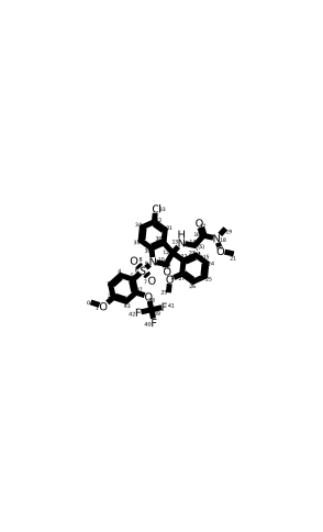 COc1ccc(S(=O)(=O)N2C(=O)C(N[C@@H](C)C(=O)N(C)OC)(c3ccccc3OC)c3cc(Cl)ccc32)c(OC(F)(F)F)c1